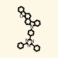 c1ccc(-c2nc(-c3ccccc3)nc(-c3ccc(-n4c5ccccc5c5c6ccc7c8ccccc8oc7c6ccc54)cc3)n2)cc1